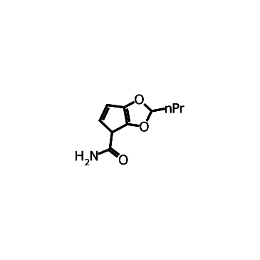 CCCC1OC2=C(O1)C(C(N)=O)C=C2